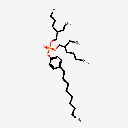 CCCCCCCCCc1ccc(OP(=O)(OCC(CC)CCCC)OCC(CC)CCCC)cc1